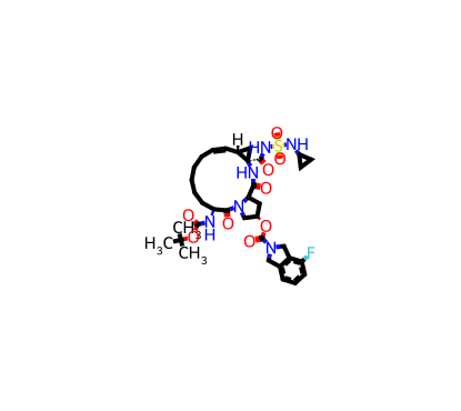 CC(C)(C)OC(=O)N[C@H]1CCCCC/C=C\[C@@H]2C[C@@]2(C(=O)NS(=O)(=O)NC2CC2)NC(=O)C2C[C@@H](OC(=O)N3Cc4cccc(F)c4C3)CN2C1=O